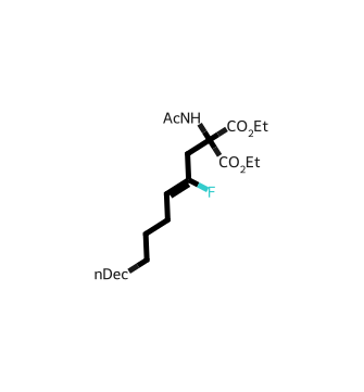 CCCCCCCCCCCCC/C=C(\F)CC(NC(C)=O)(C(=O)OCC)C(=O)OCC